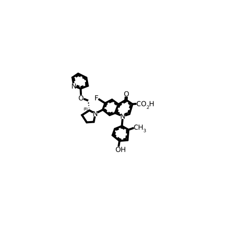 Cc1cc(O)ccc1-n1cc(C(=O)O)c(=O)c2cc(F)c(N3CCC[C@@H]3COc3ccccn3)cc21